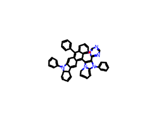 C1=CCN2C(=C1)N(c1ccccc1)C(c1ncncn1)=C2c1c2ccccc2c(-c2ccccc2)c2cc3c(cc12)C1C=CC=CC1N3c1ccccc1